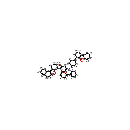 c1ccc(-c2ccccc2N(c2ccc(-c3cccc4c3oc3ccccc34)cc2)c2ccc3c(c2)sc2ccc4c(oc5ccc6ccccc6c54)c23)cc1